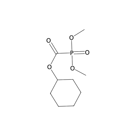 COP(=O)(OC)C(=O)OC1CCCCC1